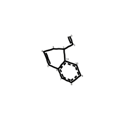 C=CC1CC=Cc2ccccc21